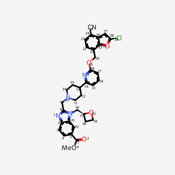 COC(=O)c1ccc2nc(CN3CCC(c4cccc(OCc5ccc(C#N)c6cc(Cl)oc56)n4)CC3)n(C[C@@H]3CCO3)c2c1